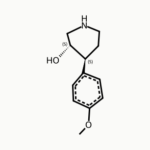 COc1ccc([C@@H]2CCNC[C@H]2O)cc1